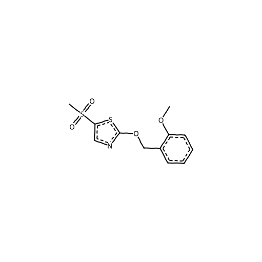 COc1ccccc1COc1ncc(S(C)(=O)=O)s1